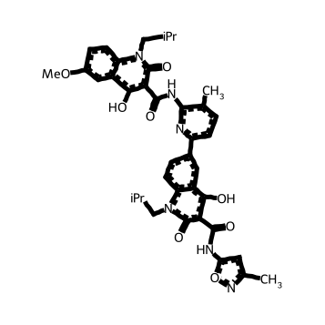 COc1ccc2c(c1)c(O)c(C(=O)Nc1nc(-c3ccc4c(c3)c(O)c(C(=O)Nc3cc(C)no3)c(=O)n4CC(C)C)ccc1C)c(=O)n2CC(C)C